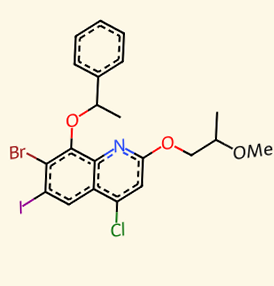 COC(C)COc1cc(Cl)c2cc(I)c(Br)c(OC(C)c3ccccc3)c2n1